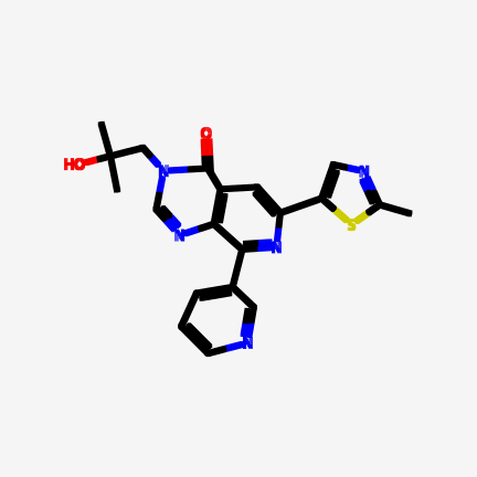 Cc1ncc(-c2cc3c(=O)n(CC(C)(C)O)cnc3c(-c3cccnc3)n2)s1